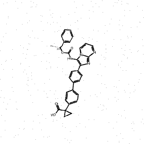 C[C@@H](OC(=O)Nc1c(-c2ccc(-c3ccc(C4(C(=O)O)CC4)cc3)cc2)nc2ncccn12)c1ccccc1